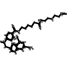 COCCOCCNC(=O)CCCCCOC(=O)c1ccc(N(C)Cc2cnc3nc(N)nc(N)c3n2)cc1